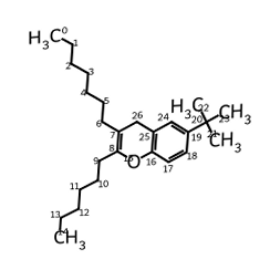 CCCCCCCC1=C(CCCCCC)Oc2ccc(C(C)(C)C)cc2C1